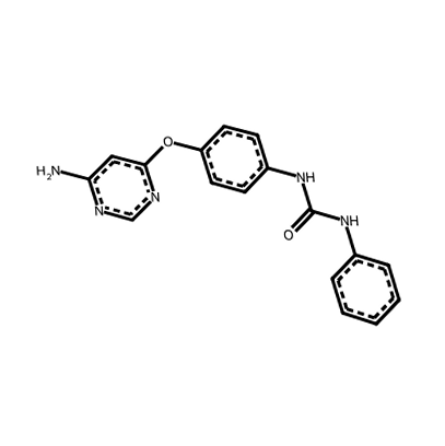 Nc1cc(Oc2ccc(NC(=O)Nc3ccccc3)cc2)ncn1